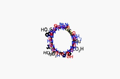 C=C/C(=C\C)CSC[C@H]1NC(=O)[C@@H](C)NC(=O)[C@H](Cc2cccc3ccccc23)NC(=O)[C@H](CCC(=O)O)NC(=O)[C@H](CC(N)=O)NC(=O)[C@@H](C)NC(=O)[C@@H](NC(=O)[C@H](C)N)CSCCSC[C@@H](C(N)=O)NC(=O)[C@H](C(C)(C)C)NC(=O)[C@H](CC(=O)O)NC(=O)[C@H](Cc2ccc(O)cc2)NC(=O)[C@H](Cc2ccccc2)NC2O[C@@H]2[C@H](CC(=O)O)NC(=O)[C@H](CCC(=O)O)NC1=O